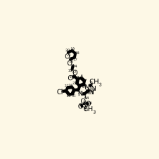 Cc1nnc2n1-c1ccc(C(=O)OCCOC3CCCCO3)cc1C(c1ccc(Cl)cc1)=N[C@H]2COS(C)(=O)=O